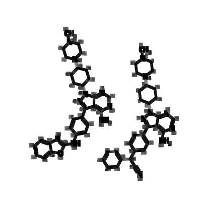 CN1CCN([C@H]2CC[C@@H](n3nc(-c4ccc(C(C#N)c5ccccc5)cc4)c4c(N)ncnc43)CC2)CC1.CN1CCN([C@H]2CC[C@@H](n3nc(-c4ccc(Nc5nc6ccccc6o5)cc4)c4c(N)ncnc43)CC2)CC1